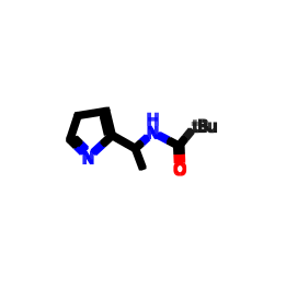 CC(NC(=O)C(C)(C)C)C1=CCC=N1